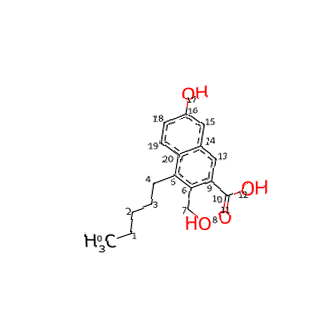 CCCCCc1c(CO)c(C(=O)O)cc2cc(O)ccc12